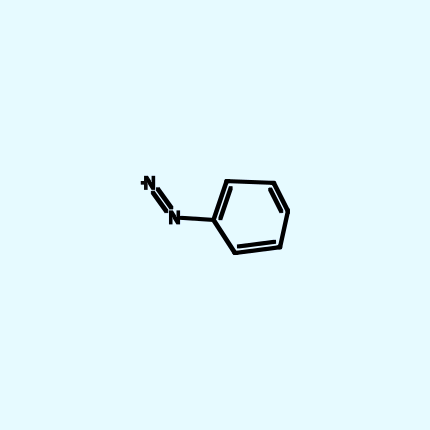 [N]=Nc1ccccc1